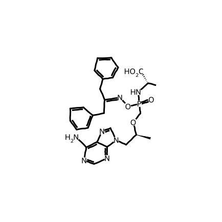 C[C@H](NP(=O)(CO[C@@H](C)Cn1cnc2c(N)ncnc21)ON=C(Cc1ccccc1)Cc1ccccc1)C(=O)O